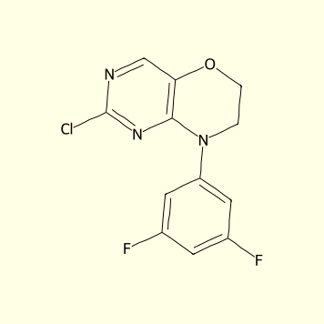 Fc1cc(F)cc(N2CCOc3cnc(Cl)nc32)c1